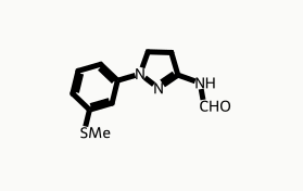 CSc1cccc(N2CCC(NC=O)=N2)c1